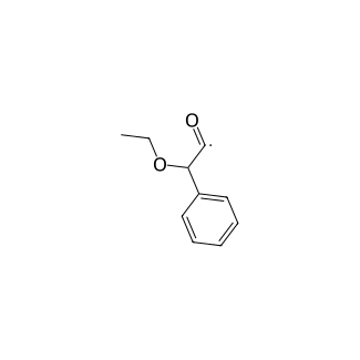 CCOC([C]=O)c1ccccc1